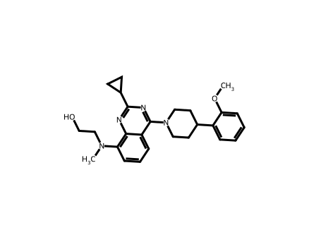 COc1ccccc1C1CCN(c2nc(C3CC3)nc3c(N(C)CCO)cccc23)CC1